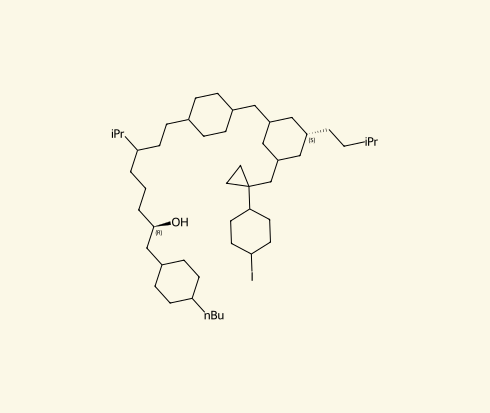 CCCCC1CCC(C[C@H](O)CCCC(CCC2CCC(CC3CC(CC4(C5CCC(I)CC5)CC4)C[C@@H](CCC(C)C)C3)CC2)C(C)C)CC1